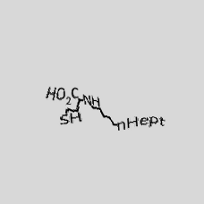 CCCCCCCCCCCCNC(CCS)C(=O)O